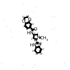 CN1CC(NC(=O)c2ccc3c(c2)OCCO3)C[C@H]1c1nc2c([nH]1)CCC=C2